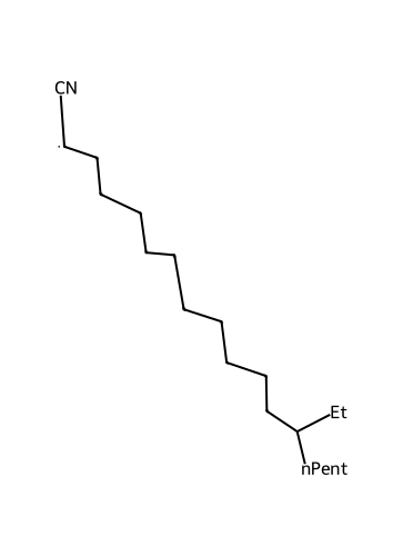 CCCCCC(CC)CCCCCCCCCC[CH]C#N